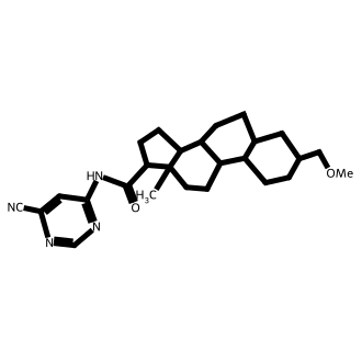 COCC1CCC2C(CCC3C2CCC2(C)C(C(=O)Nc4cc(C#N)ncn4)CCC32)C1